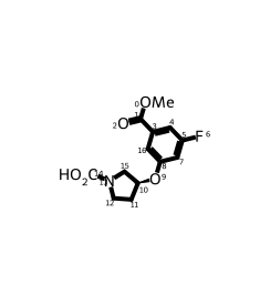 COC(=O)c1cc(F)cc(O[C@H]2CCN(C(=O)O)C2)c1